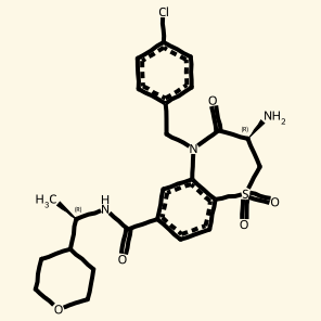 C[C@@H](NC(=O)c1ccc2c(c1)N(Cc1ccc(Cl)cc1)C(=O)[C@@H](N)CS2(=O)=O)C1CCOCC1